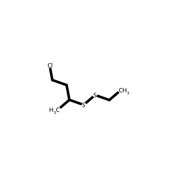 CCSSC(C)CCCl